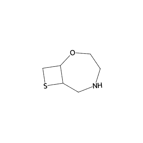 C1COC2CSC2CN1